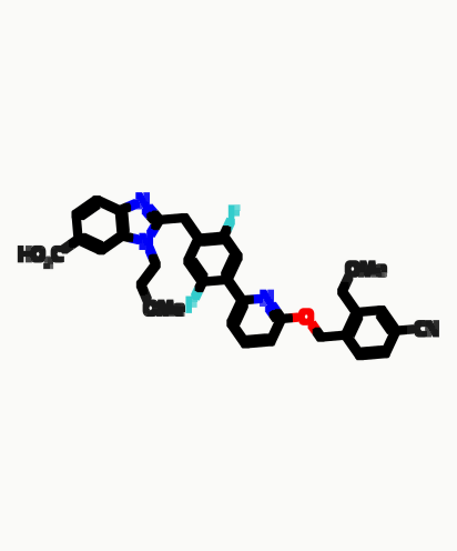 COCCn1c(Cc2cc(F)c(-c3cccc(OCc4ccc(C#N)cc4COC)n3)cc2F)nc2ccc(C(=O)O)cc21